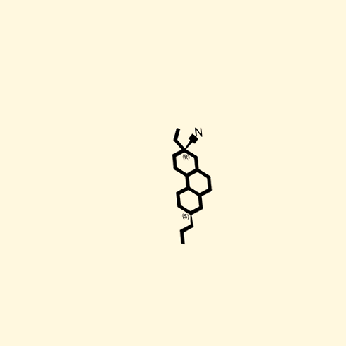 CCC[C@H]1CCC2C(CCC3C[C@@](C#N)(CC)CCC32)C1